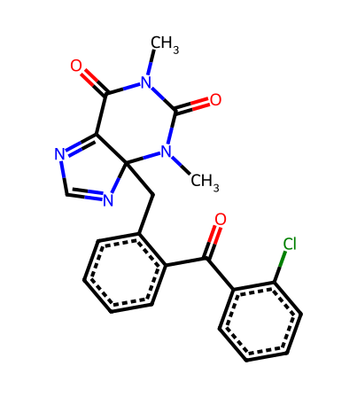 CN1C(=O)C2=NC=NC2(Cc2ccccc2C(=O)c2ccccc2Cl)N(C)C1=O